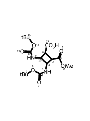 COC(=O)C1C(NC(=O)OC(C)(C)C)C(NC(=O)OC(C)(C)C)C1C(=O)O